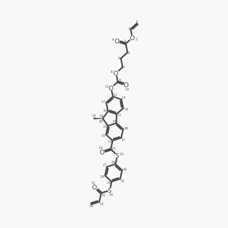 C=COC(=O)CCCOC(=O)Oc1ccc2c(c1)[C@H](C)c1cc(C(=O)Sc3ccc(SC(=O)C=C)cc3)ccc1-2